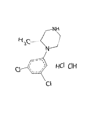 C[C@@H]1CNCCN1c1cc(Cl)cc(Cl)c1.Cl.Cl